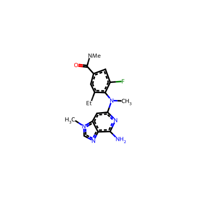 CCc1cc(C(=O)NC)cc(F)c1N(C)c1cc2c(ncn2C)c(N)n1